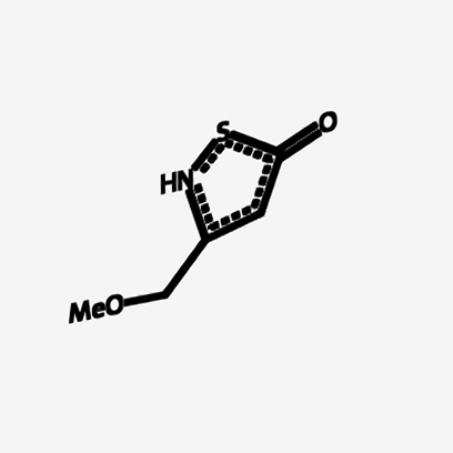 COCc1cc(=O)s[nH]1